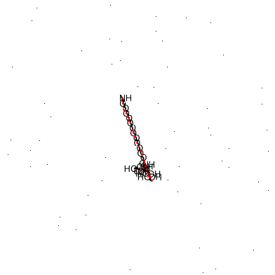 CC[C@@H](O)[C@@H](O)[C@H](O)[C@@H](O)CN(CCNC(=O)CCOCCOCCOCCOCCOCCOCCOCCOCCOCCOCCOCCOCCNC)C[C@H](O)[C@@H](O)[C@H](O)[C@H](O)CO